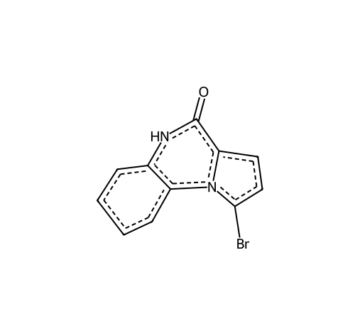 O=c1[nH]c2ccccc2n2c(Br)ccc12